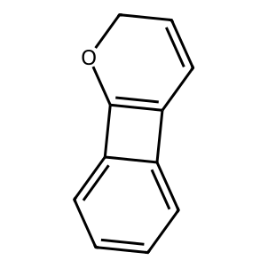 C1=CC2=C(OC1)c1ccccc12